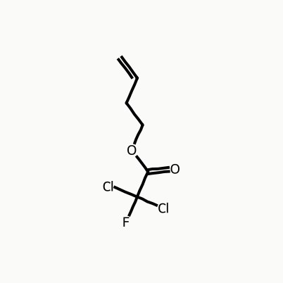 C=CCCOC(=O)C(F)(Cl)Cl